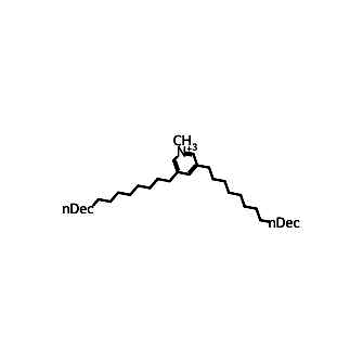 CCCCCCCCCCCCCCCCCCc1cc(CCCCCCCCCCCCCCCCCC)c[n+](C)c1